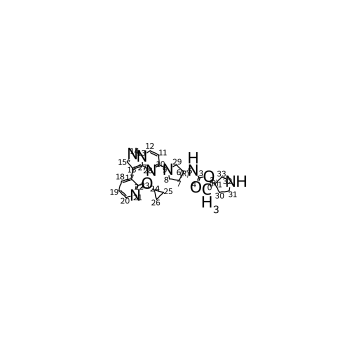 C[C@@]1(OC(=O)N[C@@H]2CCN(c3ccn4ncc(-c5cccnc5OC5CC5)c4n3)C2)CCNC1